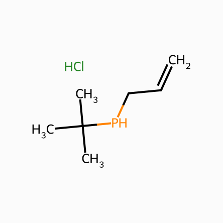 C=CCPC(C)(C)C.Cl